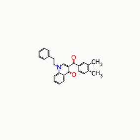 Cc1ccc(C(=O)c2cn(CCc3ccccc3)c3ccccc3c2=O)cc1C